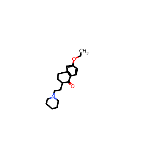 CCOc1ccc2c(c1)CCC(CCN1CCCCC1)C2=O